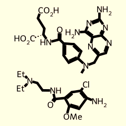 CCN(CC)CCNC(=O)c1cc(Cl)c(N)cc1OC.CN(Cc1cnc2nc(N)nc(N)c2n1)c1ccc(C(=O)N[C@@H](CCC(=O)O)C(=O)O)cc1